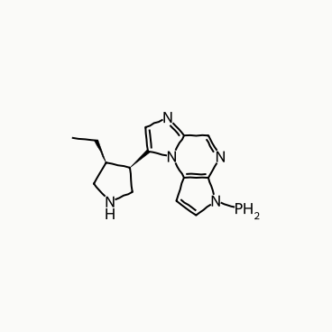 CC[C@@H]1CNC[C@@H]1c1cnc2cnc3c(ccn3P)n12